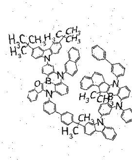 CC(C)(C)c1ccc2c(c1)c1cc(C(C)(C)C)ccc1n2-c1ccc2c(c1)N(c1ccc3ccccc3c1)c1cccc3c1B2c1oc2ccccc2c1N3c1cccc(-c2ccc(C(C)(C)c3ccc4c5ccccc5n(-c5ccc6c(c5)N(c5ccccc5)c5cccc7c5B6C5=C(c6ccc8ccccc8c6C5(C)C)N7c5cccc(-c6ccccc6)c5)c4c3)cc2)c1